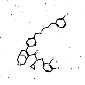 O=C(C1=C(c2ccc(CNCCCc3cccc(Cl)c3)cc2)CC2CNCC1N2)N(Cc1cccc(Cl)c1Cl)C1CC1